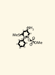 COS(=O)(=O)[O-].CSc1cc(N)cn[n+]1-c1ccccc1